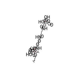 CC(C)=CCCC1(C)C=Cc2c(O)c3c(c(CC=C(C)C)c2O1)OC12C(=CC4CC1C(C)(C)OC2(C/C=C(/C)C(=O)NCCOCCOCCNC(=O)CCCCCNC(=O)c1ccc(-c2c5ccc(=O)cc-5oc5cc(O)ccc25)c(C(=O)O)c1)C4=O)C3=O